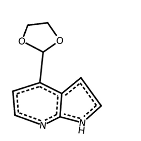 c1cc(C2OCCO2)c2cc[nH]c2n1